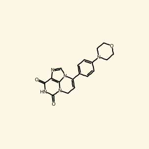 O=c1[nH]c(=O)n2c3c1ncn3C(c1ccc(N3CCOCC3)cc1)=CC2